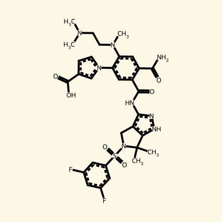 CN(C)CCN(C)c1cc(C(N)=O)c(C(=O)Nc2n[nH]c3c2CN(S(=O)(=O)c2cc(F)cc(F)c2)C3(C)C)cc1-n1ccc(C(=O)O)c1